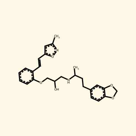 Cc1cc(C=Cc2ccccc2OCC(O)CNC(C)CCc2ccc3c(c2)OCO3)on1